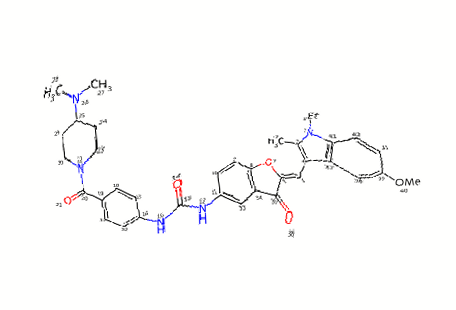 CCn1c(C)c(C=C2Oc3ccc(NC(=O)Nc4ccc(C(=O)N5CCC(N(C)C)CC5)cc4)cc3C2=O)c2cc(OC)ccc21